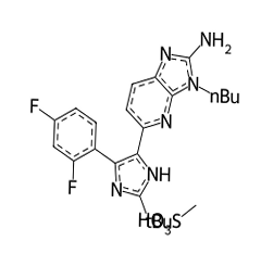 CCCCn1c(N)nc2ccc(-c3[nH]c(C(C)(C)C)nc3-c3ccc(F)cc3F)nc21.CS(=O)(=O)O